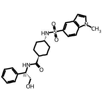 Cn1ccc2cc(S(=O)(=O)N[C@H]3CC[C@H](C(=O)N[C@H](CO)c4ccccc4)CC3)ccc21